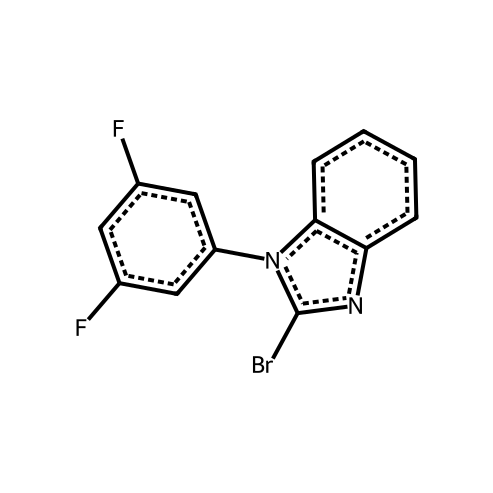 Fc1cc(F)cc(-n2c(Br)nc3ccccc32)c1